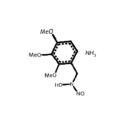 COc1ccc(CN(O)N=O)c(OC)c1OC.N